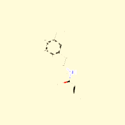 C=CC(=O)NCCc1cccc(C)c1